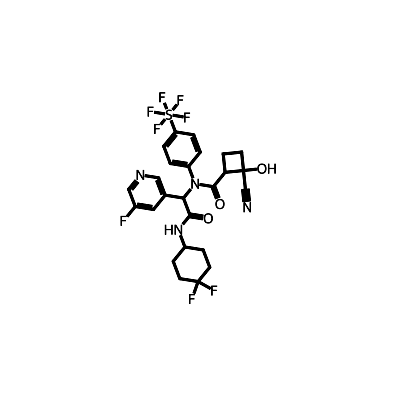 N#CC1(O)CCC1C(=O)N(c1ccc(S(F)(F)(F)(F)F)cc1)C(C(=O)NC1CCC(F)(F)CC1)c1cncc(F)c1